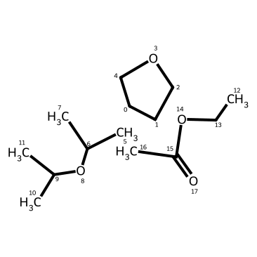 C1CCOC1.CC(C)OC(C)C.CCOC(C)=O